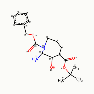 CC(C)(C)OC(=O)C1CCCN(C(=O)OCc2ccccc2)C(N)C1O